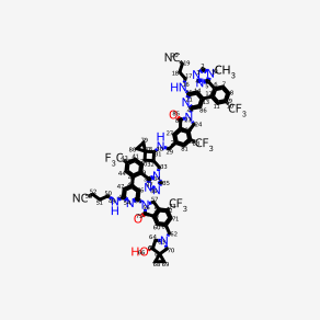 Cn1cnnc1-c1ccc(C(F)(F)F)cc1-c1cc(NCCCC#N)nc(N2Cc3c(cc(CNC4C(Cn5cnnc5-c5ccc(C(F)(F)F)cc5-c5cc(NCCCC#N)nc(N6Cc7c(cc(CN8C[C@H](O)C9(CC9)C8)cc7C(F)(F)F)C6=O)c5)CC45CC5)cc3C(F)(F)F)C2=O)c1